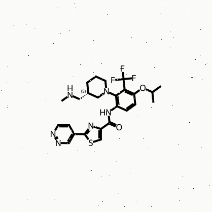 CNC[C@@H]1CCCN(c2c(NC(=O)c3csc(-c4ccnnc4)n3)ccc(OC(C)C)c2C(F)(F)F)C1